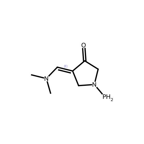 CN(C)/C=C1\CN(P)CC1=O